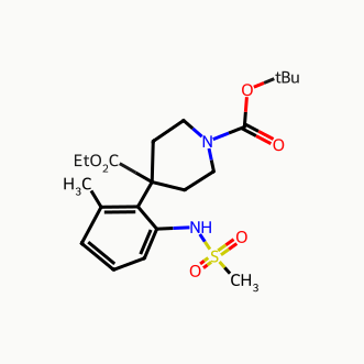 CCOC(=O)C1(c2c(C)cccc2NS(C)(=O)=O)CCN(C(=O)OC(C)(C)C)CC1